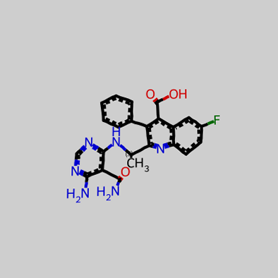 C[C@H](Nc1ncnc(N)c1C(N)=O)c1nc2ccc(F)cc2c(C(=O)O)c1-c1ccccc1